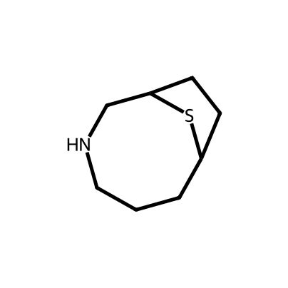 C1CNCC2CCC(C1)S2